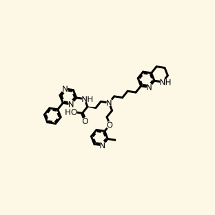 Cc1ncccc1OCCN(CCCCc1ccc2c(n1)NCCC2)CC[C@H](Nc1cncc(-c2ccccc2)n1)C(=O)O